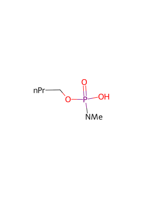 CCCCOP(=O)(O)NC